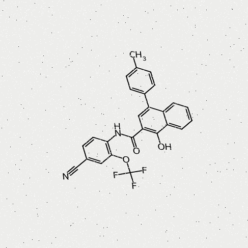 Cc1ccc(-c2cc(C(=O)Nc3ccc(C#N)cc3OC(F)(F)F)c(O)c3ccccc23)cc1